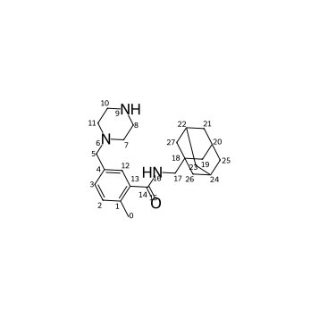 Cc1ccc(CN2CCNCC2)cc1C(=O)NCC12CC3CC(CC(C3)C1)C2